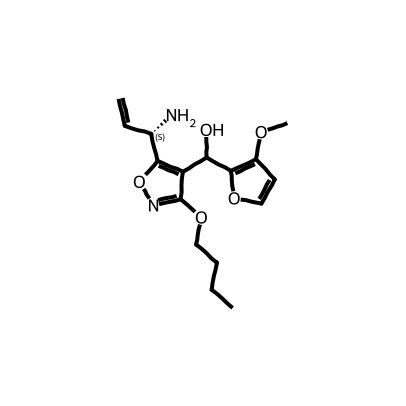 C=C[C@H](N)c1onc(OCCCC)c1C(O)c1occc1OC